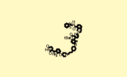 Cc1c(OC2CCC(CCCN3CCC(Oc4cccc5c(C6CCC(=O)NC6=O)nn(C)c45)CC3)CC2)cccc1-c1ccc(N2CCc3cccc(C(=O)Nc4nc5ccccc5s4)c3C2)nc1C(=O)OC(C)(C)C